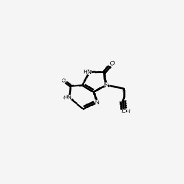 C#CCn1c(=O)[nH]c2c(=O)[nH]cnc21